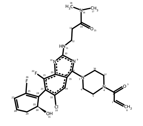 C=CC(=O)N1CCN(c2nc(NCCC(=O)N(C)C)nc3c(F)c(C4=C(F)C=CC[C@@H]4O)c(Cl)cc23)CC1